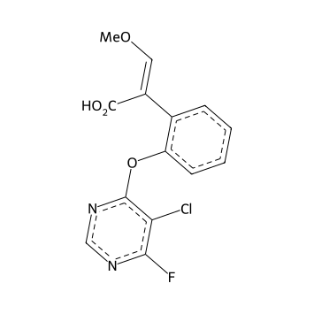 CO/C=C(\C(=O)O)c1ccccc1Oc1ncnc(F)c1Cl